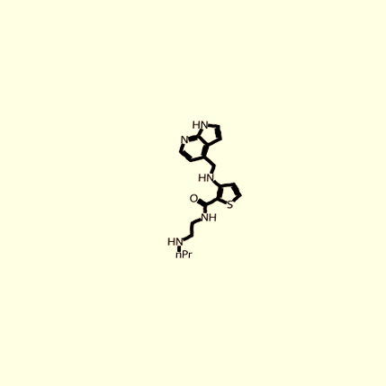 CCCNCCNC(=O)c1sccc1NCc1ccnc2[nH]ccc12